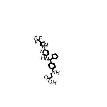 O=C(O)CCNc1ccc(C(Nc2ccc(-n3cc(C(F)(F)F)cn3)nc2)C2CCCC2)cc1